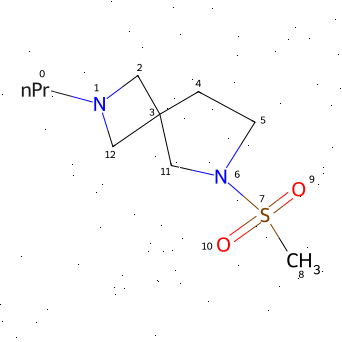 CCCN1CC2(CCN(S(C)(=O)=O)C2)C1